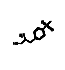 CS(=O)(=O)c1ccc(CC(N)CO)cc1